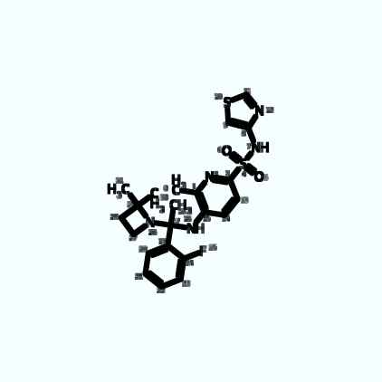 Cc1nc(S(=O)(=O)Nc2cscn2)ccc1NC(C)(c1ccccc1F)N1CCC1(C)C